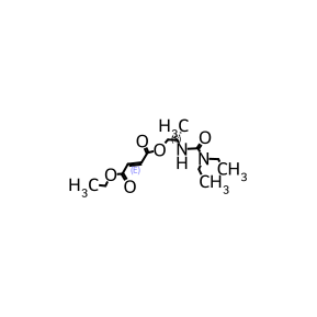 CCOC(=O)/C=C/C(=O)OC[C@H](C)NC(=O)N(CC)CC